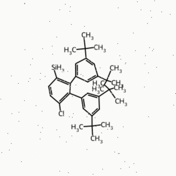 CC(C)(C)c1cc(-c2c([SiH3])ccc(Cl)c2-c2cc(C(C)(C)C)cc(C(C)(C)C)c2)cc(C(C)(C)C)c1